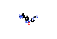 Cc1cc2c(cc1-c1cc(C)c3ncnn3c1)[nH]c(=O)n2C1CCCN(CC#N)C1